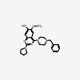 COc1cc2c(N3CCN(Cc4ccccc4)CC3)nc(N3CCCC3)nc2cc1O